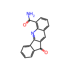 NC(=O)c1cccc2cc3c(nc12)-c1ccccc1C3=O